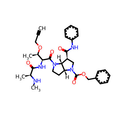 C#CCO[C@H](C)[C@H](NC(=O)[C@H](C)NC)C(=O)N1CC[C@@H]2[C@H]1[C@@H](C(=O)Nc1ccccc1)CN2C(=O)OCc1ccccc1